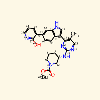 CC(C)(C)OC(=O)N1CCC[C@H](Nc2ncc(C(F)(F)F)c(-c3c[nH]c4cc(-c5cccnc5O)ccc34)n2)C1